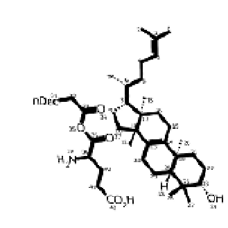 CC(C)=CCC[C@@H](C)[C@H]1CC[C@@]2(C)C3=C(CC[C@]12C)[C@@]1(C)CC[C@H](O)C(C)(C)[C@@H]1CC3.CCCCCCCCCCCC(=O)OC(=O)C(N)CCC(=O)O